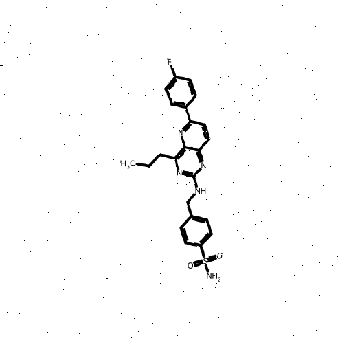 CCCc1nc(NCc2ccc(S(N)(=O)=O)cc2)nc2ccc(-c3ccc(F)cc3)nc12